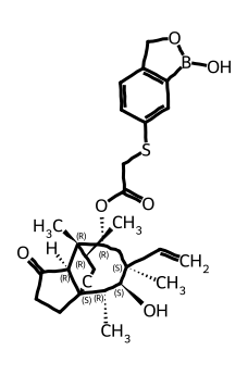 C=C[C@]1(C)C[C@@H](OC(=O)CSc2ccc3c(c2)B(O)OC3)[C@]2(C)[C@H](C)CC[C@]3(CCC(=O)[C@H]32)[C@@H](C)[C@@H]1O